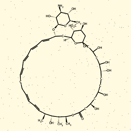 C[C@@H]1[C@H](O)[C@@H](C)/C=C/C=C/CC/C=C/C=C/C=C/C=C/[C@H](O[C@@H]2O[C@H](C)[C@@H](O)[C@H](N)[C@H]2O)C[C@@H]2OC(O)(CC(O)CC(O)[C@H](O)CCC(O)C[C@@H](O)CC(=O)O[C@H]1C)C[C@H](O)[C@H]2C(=O)O